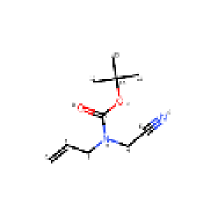 C=CCN(CC#N)C(=O)OC(C)(C)C